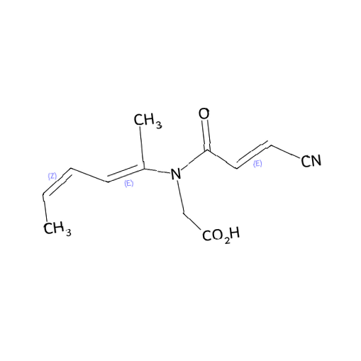 C/C=C\C=C(/C)N(CC(=O)O)C(=O)/C=C/C#N